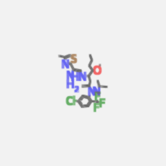 C=C(CC(N/C=C(\N)c1nc(C)cs1)C(CCC)OC)N(N=C(C)C)c1cc(Cl)ccc1C(F)(F)F